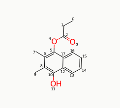 CCC(=O)Oc1c(C)c(C)c(O)c2ccccc12